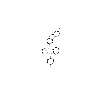 CC(C)(C)c1ccc(N2c3ccc(C(C)(C)C)cc3B3c4ccc5c(c4Oc4cccc2c43)c2ccc3c(c2n5C(C)(C)C)CCC3)cc1